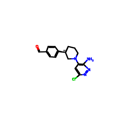 Nc1nnc(Cl)cc1N1CCC[C@H](c2ccc(C=O)cc2)C1